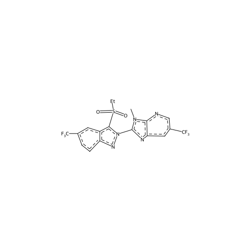 CCS(=O)(=O)c1c2cc(C(F)(F)F)ccc2nn1-c1nc2cc(C(F)(F)F)cnc2n1C